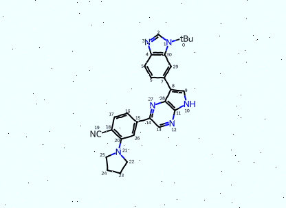 CC(C)(C)n1cnc2ccc(-c3c[nH]c4ncc(-c5ccc(C#N)c(N6CCCC6)c5)nc34)cc21